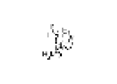 Cc1cc([C@@]2(c3cccc(Br)c3)COC(N)=N2)ccc1OC(F)F